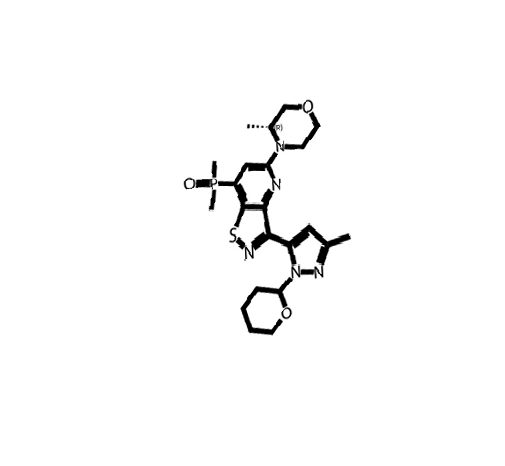 Cc1cc(-c2nsc3c(P(C)(C)=O)cc(N4CCOC[C@H]4C)nc23)n(C2CCCCO2)n1